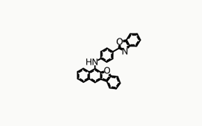 c1ccc2c(Nc3ccc(-c4nc5ccccc5o4)cc3)c3oc4ccccc4c3cc2c1